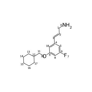 NCC=Cc1cc(F)cc(OCC2CCCCC2)c1